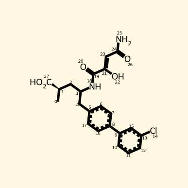 C[C@H](CC(Cc1ccc(-c2cccc(Cl)c2)cc1)NC(=O)/C(O)=C/C(N)=O)C(=O)O